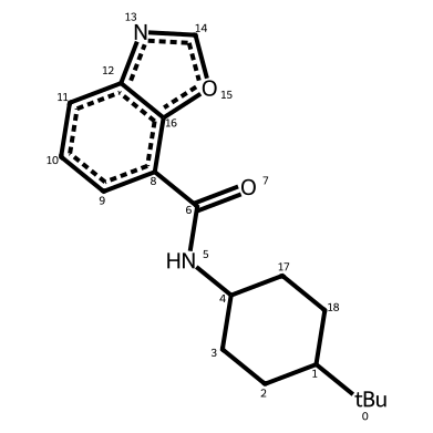 CC(C)(C)C1CCC(NC(=O)c2cccc3ncoc23)CC1